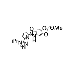 COCC1COc2cc3[nH]n(-c4cccc(-c5nncn5C(C)C)n4)c(=O)c3cc2O1